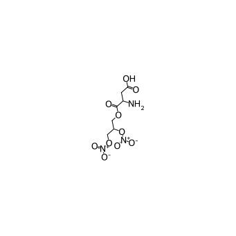 NC(CC(=O)O)C(=O)OCC(CO[N+](=O)[O-])O[N+](=O)[O-]